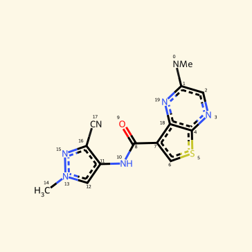 CNc1cnc2scc(C(=O)Nc3cn(C)nc3C#N)c2n1